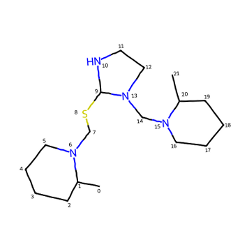 CC1CCCCN1CSC1NCCN1CN1CCCCC1C